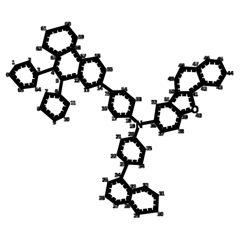 c1ccc(-c2c(-c3ccccc3)c3cc(-c4ccc(N(c5ccc(-c6cccc7ccccc67)cc5)c5ccc6oc7c8ccccc8ccc7c6c5)cc4)ccc3c3ccccc23)cc1